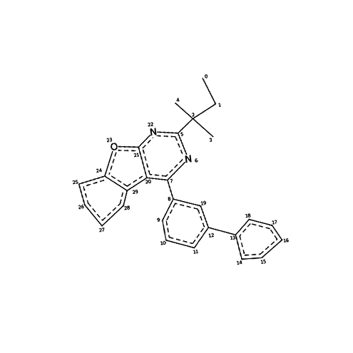 CCC(C)(C)c1nc(-c2cccc(-c3ccccc3)c2)c2c(n1)oc1ccccc12